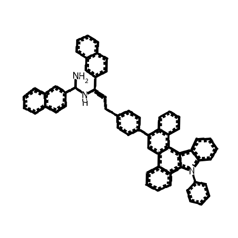 NC(N/C(=C\Cc1ccc(-c2cc3c4ccccc4c4c(c5ccccc5n4-c4ccccc4)c3c3ccccc23)cc1)c1ccc2ccccc2c1)c1ccc2ccccc2c1